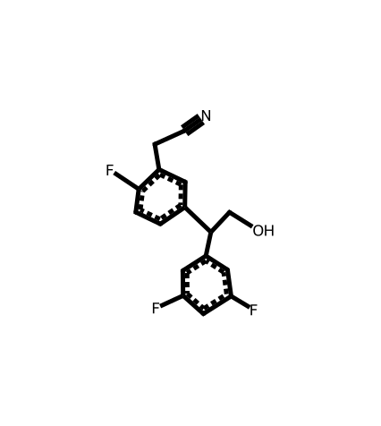 N#CCc1cc(C(CO)c2cc(F)cc(F)c2)ccc1F